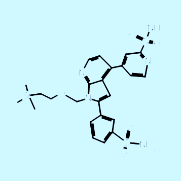 C[Si](C)(C)CCOCn1c(-c2cccc(S(N)(=O)=O)c2)cc2c(-c3ccnc(S(N)(=O)=O)c3)ccnc21